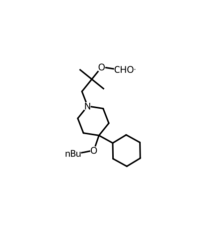 CCCCOC1(C2CCCCC2)CCN(CC(C)(C)O[C]=O)CC1